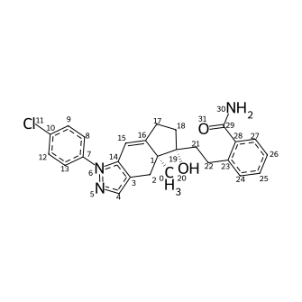 C[C@]12Cc3cnn(-c4ccc(Cl)cc4)c3C=C1CC[C@@]2(O)CCc1ccccc1C(N)=O